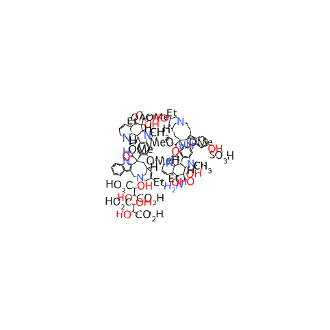 CCC1=C[C@@H]2C[N@](C1)Cc1c([nH]c3ccccc13)[C@@](C(=O)OC)(c1cc3c(cc1OC)N(C)[C@H]1[C@@](O)(C(=O)OC)[C@H](OC(C)=O)[C@]4(CC)C=CCN5CC[C@]31[C@@H]54)C2.CC[C@]1(O)C[C@H]2C[N@](CCc3c([nH]c4ccccc34)[C@@](C(=O)OC)(c3cc4c(cc3OC)N(C)[C@H]3[C@@](O)(C(N)=O)[C@H](O)[C@]5(CC)C=CCN6CC[C@]43[C@@H]65)C2)C1.O=C(O)C(O)C(O)C(=O)O.O=C(O)C(O)C(O)C(=O)O.O=S(=O)(O)O